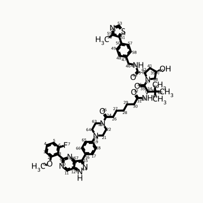 COc1cccc(F)c1-c1ncc2[nH]nc(-c3ccc(N4CCN(C(=O)CCCCCC(=O)N[C@H](C(=O)N5C[C@H](O)C[C@H]5C(=O)NCc5ccc(-c6scnc6C)cc5)C(C)(C)C)CC4)cc3)c2n1